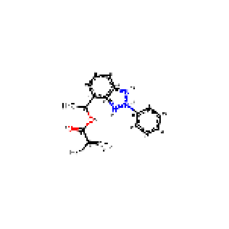 C=C(C)C(=O)OC(C)c1cccc2nn(-c3ccccc3)nc12